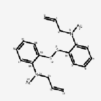 C=CCN(C(C)=O)c1ccccc1SSc1ccccc1N(CC=C)C(C)=O